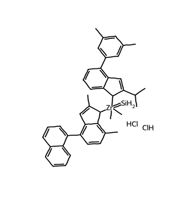 CC1=Cc2c(-c3cccc4ccccc34)ccc(C)c2[CH]1[Zr]([CH3])([CH3])(=[SiH2])[CH]1C(C(C)C)=Cc2c(-c3cc(C)cc(C)c3)cccc21.Cl.Cl